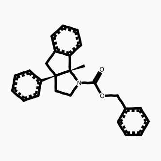 C[C@]12c3ccccc3C[C@@]1(c1ccccc1)CCN2C(=O)OCc1ccccc1